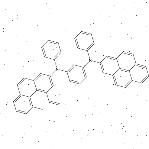 C=Cc1cc(N(c2ccccc2)c2cccc(N(c3ccccc3)c3cc4ccc5cccc6ccc(c3)c4c56)c2)cc2ccc3cccc(C)c3c12